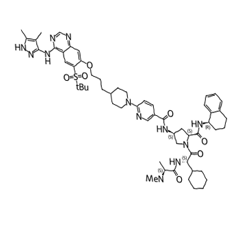 CN[C@@H](C)C(=O)N[C@H](C(=O)N1C[C@@H](NC(=O)c2ccc(N3CCC(CCCOc4cc5ncnc(Nc6n[nH]c(C)c6C)c5cc4S(=O)(=O)C(C)(C)C)CC3)nc2)C[C@H]1C(=O)N[C@@H]1CCCc2ccccc21)C1CCCCC1